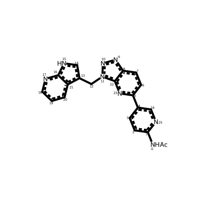 CC(=O)Nc1ccc(-c2ccc3nnn(Cc4c[nH]c5ncccc45)c3n2)cn1